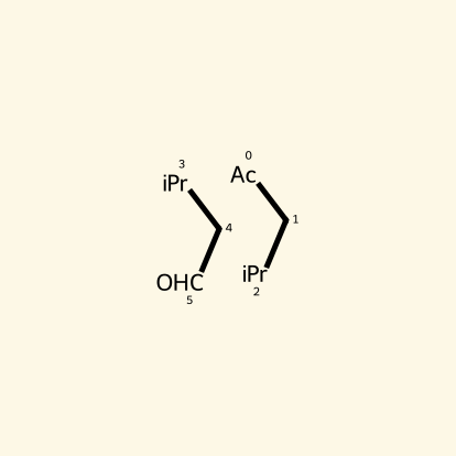 CC(=O)CC(C)C.CC(C)CC=O